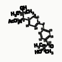 CC(=O)ON=C(c1ccc(Cc2ccc(C(=O)C(C)(C)O)cc2)cc1)C(C)(C)O